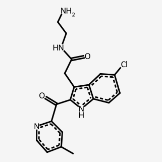 Cc1ccnc(C(=O)c2[nH]c3ccc(Cl)cc3c2CC(=O)NCCN)c1